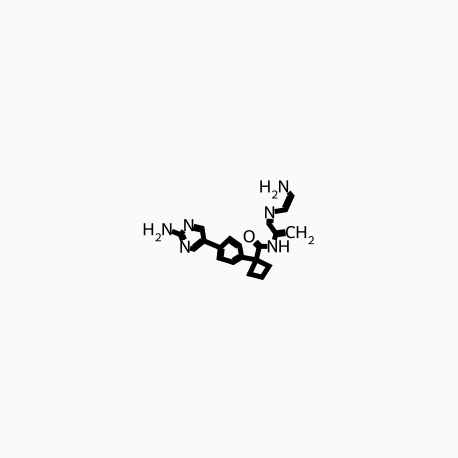 C=C(/C=N\C=C/N)NC(=O)C1(c2ccc(-c3cnc(N)nc3)cc2)CCC1